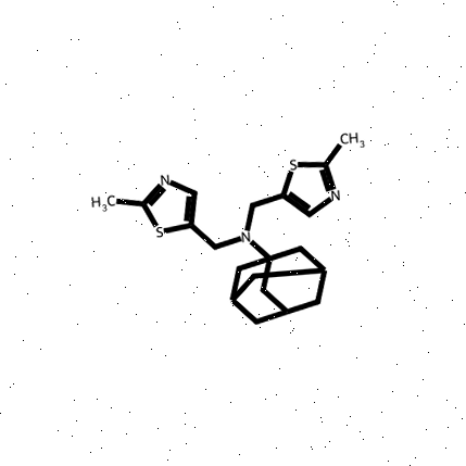 Cc1ncc(CN(Cc2cnc(C)s2)C23CC4CC(CC(C4)C2)C3)s1